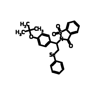 CC(C)(C)Oc1ccc(C(C[Se]c2ccccc2)N2C(=O)c3ccccc3S2(=O)=O)cc1